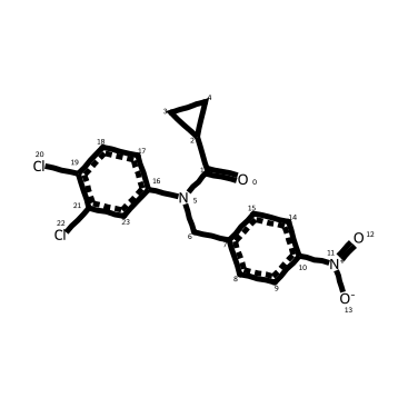 O=C(C1CC1)N(Cc1ccc([N+](=O)[O-])cc1)c1ccc(Cl)c(Cl)c1